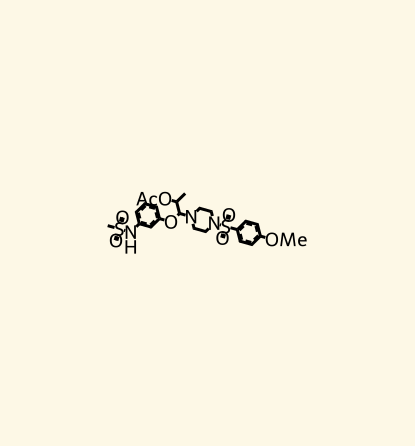 COc1ccc(S(=O)(=O)N2CCN(C(Oc3cccc(NS(C)(=O)=O)c3)C(C)OC(C)=O)CC2)cc1